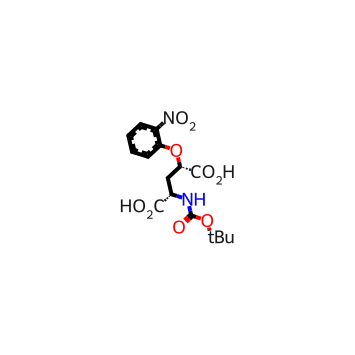 CC(C)(C)OC(=O)N[C@@H](C[C@H](Oc1ccccc1[N+](=O)[O-])C(=O)O)C(=O)O